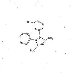 Cc1cc(N)n(-c2cccc(Br)c2)c1-c1ccccc1